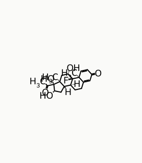 CC(=O)[C@@]1(O)[C@H](O)C[C@H]2[C@@H]3CCC4=CC(=O)C=C[C@]4(C)C3(F)[C@@H](O)C[C@@]21C